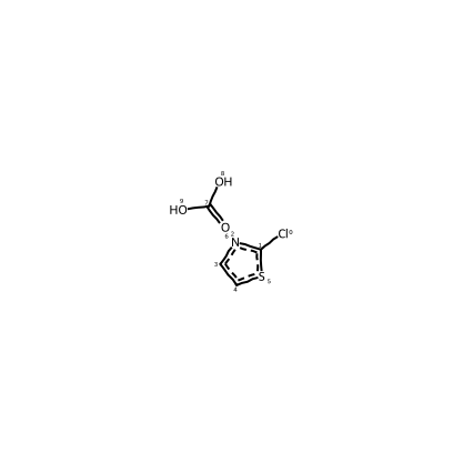 Clc1nccs1.O=C(O)O